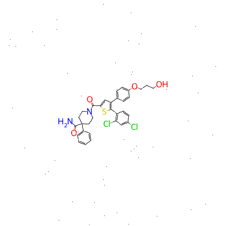 NC(=O)C1(c2ccccc2)CCN(C(=O)c2cc(-c3ccc(OCCCO)cc3)c(-c3ccc(Cl)cc3Cl)s2)CC1